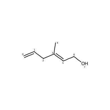 C=CC/C(C)=C/CO